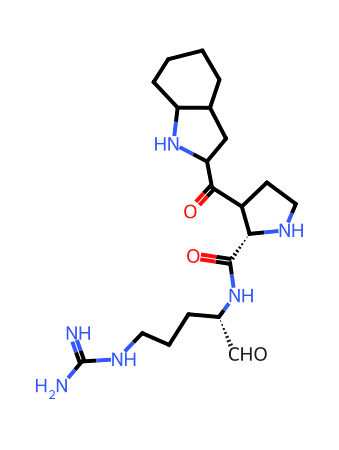 N=C(N)NCCC[C@@H](C=O)NC(=O)[C@H]1NCCC1C(=O)C1CC2CCCCC2N1